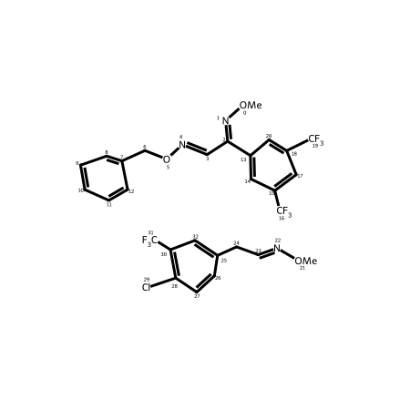 CON=C(C=NOCc1ccccc1)c1cc(C(F)(F)F)cc(C(F)(F)F)c1.CON=CCc1ccc(Cl)c(C(F)(F)F)c1